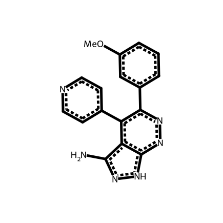 COc1cccc(-c2nnc3[nH]nc(N)c3c2-c2ccncc2)c1